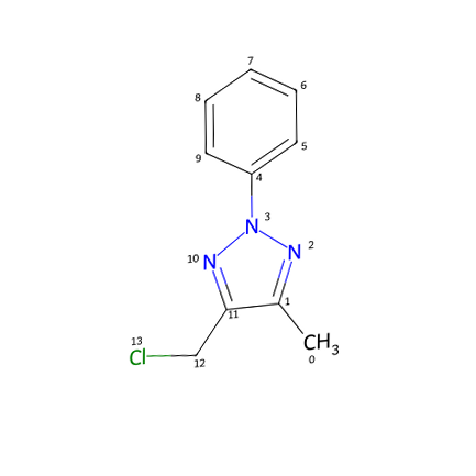 Cc1nn(-c2ccccc2)nc1CCl